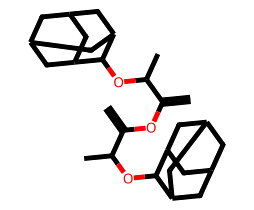 C=C(OC(=C)C(C)OC1C2CC3CC(C2)CC1C3)C(C)OC1C2CC3CC(C2)CC1C3